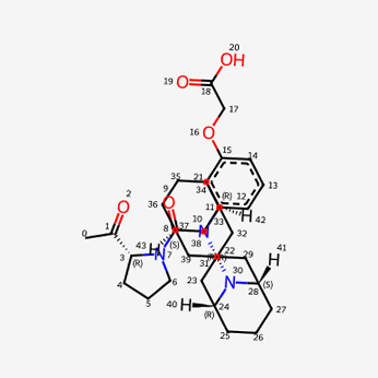 CC(=O)[C@H]1CCCN1C(=O)N(c1cccc(OCC(=O)O)c1)[C@H]1C[C@H]2CCC[C@@H](C1)N2[C@H]1C[C@@H]2CCC[C@@H](C2)C1